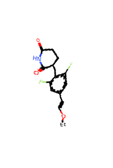 CCOC=Cc1cc(F)c(C2CCC(=O)NC2=O)c(F)c1